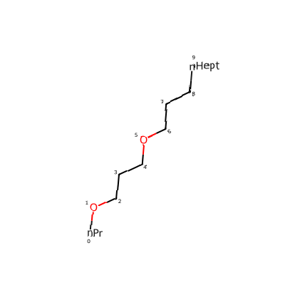 [CH2]CCOCCCOCCCCCCCCCC